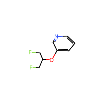 FCC(CF)Oc1[c]nccc1